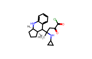 O=C(Cl)C(=O)CC(NC1CC1)(C(=O)O)C1c2ccccc2N[C@@H]2CCC[C@H]12